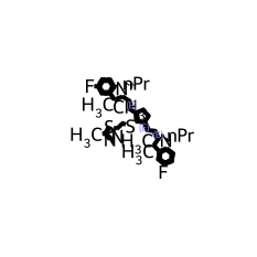 CCCN1/C(=C/C=C2\CCC(/C=C/C3=[N+](CCC)c4ccc(F)cc4C3(C)C)=C2SCc2nnc(C)s2)C(C)(C)c2cc(F)ccc21